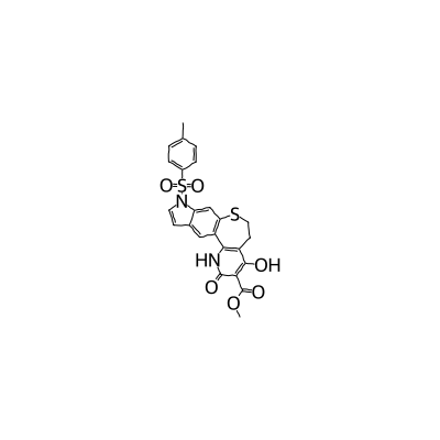 COC(=O)c1c(O)c2c([nH]c1=O)-c1cc3ccn(S(=O)(=O)c4ccc(C)cc4)c3cc1SCC2